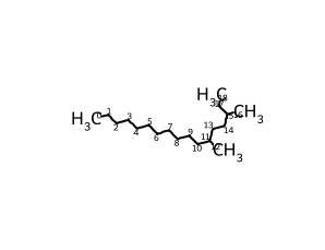 CCCCCCCCCCCC(C)CCC(C)CC